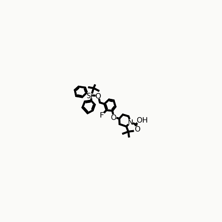 CC(C)(C)C1CC(Oc2cccc(CO[Si](c3ccccc3)(c3ccccc3)C(C)(C)C)c2F)CCN1C(=O)O